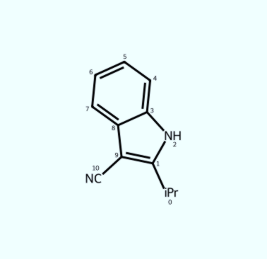 CC(C)c1[nH]c2ccccc2c1C#N